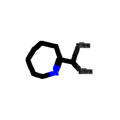 CCCCCCC(CCCCCC)/C1=N/CCCCCC1